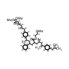 CCC(CC(CC(CC(CC(C)c1ccc(CN(C)C)cc1)C(C)=O)C(=O)OCCOC)c1ccccc1)c1ccc(CNCCC[Si](OC)(OC)OC)cc1